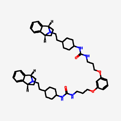 O=C(NCCCOc1cccc(OCCCNC(=O)NC2CCC(CCN3[C@@H]4CC[C@H]3c3ccccc34)CC2)c1)NC1CCC(CCN2[C@@H]3CC[C@H]2c2ccccc23)CC1